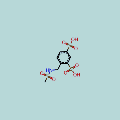 CS(=O)(=O)NCc1ccc(S(=O)(=O)O)cc1S(=O)(=O)O